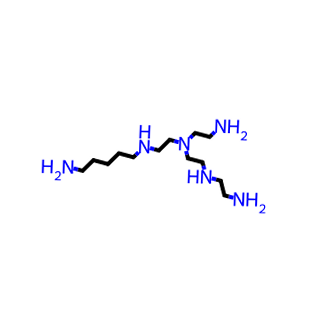 NCCCCCNCCN(CCN)CCNCCN